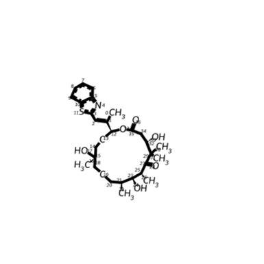 C/C(=C\c1nc2ccccc2s1)[C@@H]1CC[C@](C)(O)CCC[C@H](C)[C@H](O)[C@@H](C)C(=O)C(C)(C)[C@@H](O)CC(=O)O1